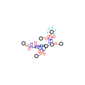 CN[C@@H](C[C@@H](O)CNC(=O)OCc1ccccc1)C(=O)N[C@@H](Cc1cc(-c2ccc(OCc3ccccc3)c(C[C@H](NC(=O)OCc3ccccc3)C(=O)Oc3c(F)c(F)c(F)c(F)c3F)c2)ccc1F)C(=O)OCc1ccccc1